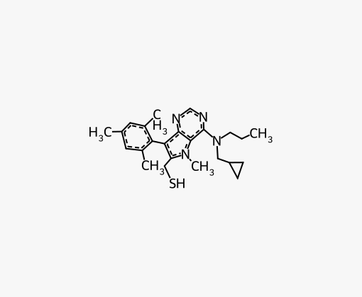 CCCN(CC1CC1)c1ncnc2c(-c3c(C)cc(C)cc3C)c(CS)n(C)c12